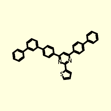 c1ccc(-c2ccc(-c3cc(-c4ccc(-c5cccc(-c6ccccc6)c5)cc4)nc(-c4cccs4)n3)cc2)cc1